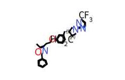 Cc1oc(-c2ccccc2)nc1CCOc1cccc(C[C@@H]2CN(c3nccc(C(F)(F)F)n3)C[C@@H]2C(=O)O)c1